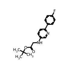 CC(C)(C)OC(=O)CNc1ccc(-c2ccc(F)cc2)nc1